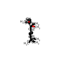 C=CC(=O)OCC(COCC(COC(=O)C=C)(COC(=O)C=C)COC(=O)NCc1cccc2c(NC(=O)OCC(COC(=O)C=C)(COC(=O)C=C)COC(=O)C=C)cccc12)(COC(=O)C=C)COC(=O)C=C